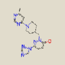 Cc1cc(N2CCC(Cn3nc(-n4cncn4)ccc3=O)CC2)ncn1